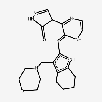 O=C1NN=CC1C1=NC=CNC1=Cc1[nH]c2c(c1CN1CCOCC1)CCCC2